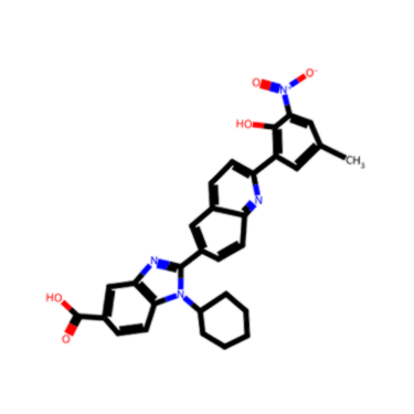 Cc1cc(-c2ccc3cc(-c4nc5cc(C(=O)O)ccc5n4C4CCCCC4)ccc3n2)c(O)c([N+](=O)[O-])c1